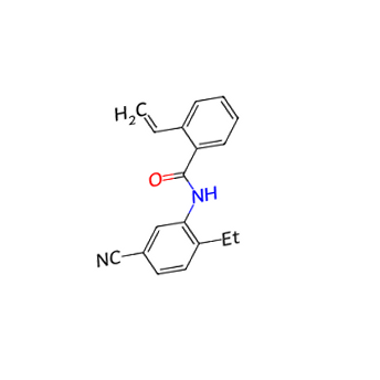 C=Cc1ccccc1C(=O)Nc1cc(C#N)ccc1CC